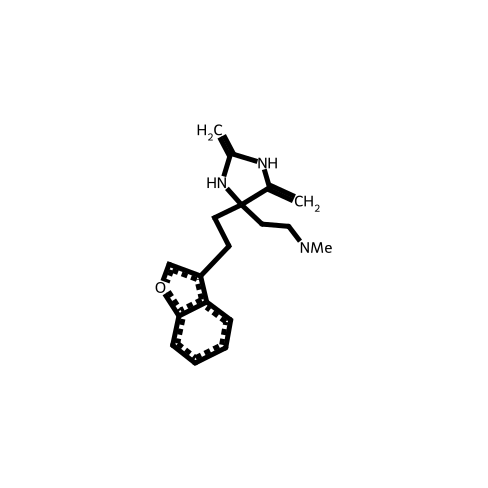 C=C1NC(=C)C(CCNC)(CCc2coc3ccccc23)N1